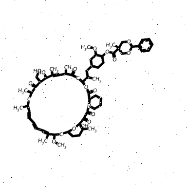 COC1CC2CCC(C)C(O)(O2)C(=O)C(=O)N2CCCCC2C(=O)OC(C(C)CC2CCC(OC(=O)C3(C)COC(c4ccccc4)OC3)C(OC)C2)CC(=O)C(C)/C=C(\C)C(O)C(CO)C(=O)C(C)CC(C)/C=C/C=C/C=C/1C